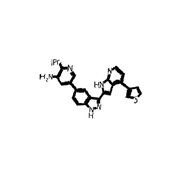 CC(C)c1ncc(-c2ccc3[nH]nc(-c4cc5c(-c6ccsc6)ccnc5[nH]4)c3c2)cc1N